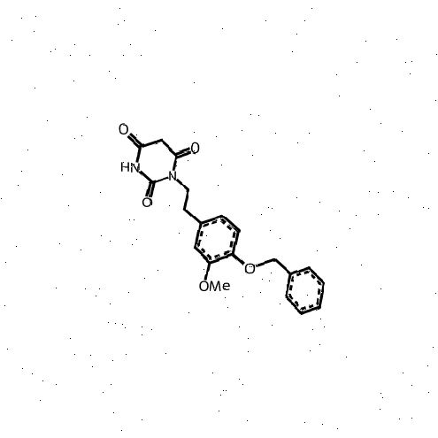 COc1cc(CCN2C(=O)CC(=O)NC2=O)ccc1OCc1ccccc1